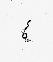 C#CCCC#COc1ccc(O)cc1